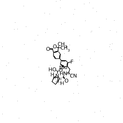 CC(C)(C)OC(O)N1[C@@H]2CC[C@@H](C2)[C@H]1C(=O)N[C@H](C#N)Cc1ccc(-c2ccc3c(c2)C(C)(C)OC3=O)cc1F